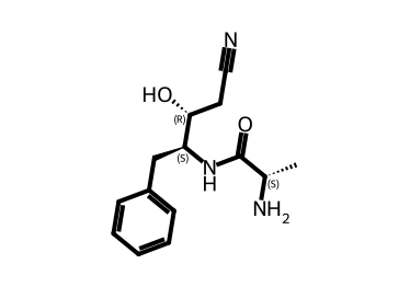 C[C@H](N)C(=O)N[C@@H](Cc1ccccc1)[C@H](O)CC#N